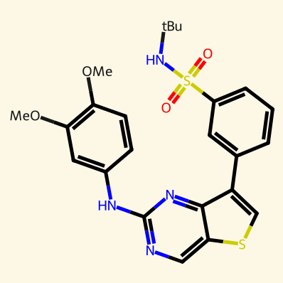 COc1ccc(Nc2ncc3scc(-c4cccc(S(=O)(=O)NC(C)(C)C)c4)c3n2)cc1OC